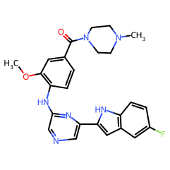 COc1cc(C(=O)N2CCN(C)CC2)ccc1Nc1cncc(-c2cc3cc(F)ccc3[nH]2)n1